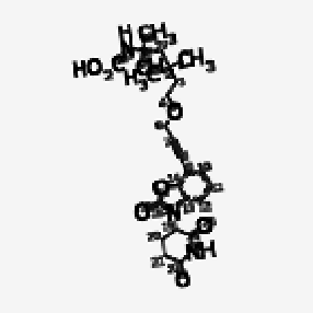 CC(C)(CCOCC#Cc1cccc2c1oc(=O)n2C1CCC(=O)NC1=O)CC(C)(C)NC(=O)O